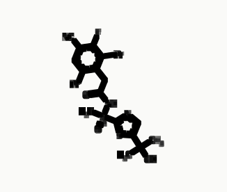 CC(C)c1cc(C#N)c(F)c(C(C)C)c1CC(=O)N[SH](N)(=O)c1ncc(C(C)(C)O)s1